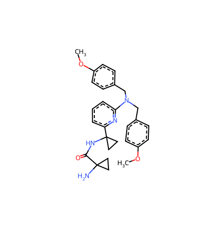 COc1ccc(CN(Cc2ccc(OC)cc2)c2cccc(C3(NC(=O)C4(N)CC4)CC3)n2)cc1